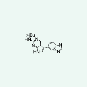 CC[C@H](C)Nc1ncc2c(-c3ccc4ncnn4c3)c[nH]c2n1